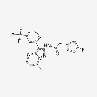 Cc1ccnc2c(-c3cccc(C(F)(F)F)c3)c(NC(=O)Cc3ccc(F)cc3)nn12